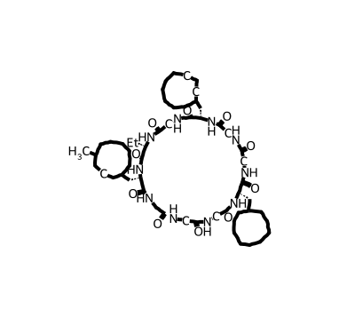 CC[C@@H]1NC(=O)CNC(=O)[C@H](CC2CCCCCCCCC2)NC(=O)CNC(=O)CNC(=O)[C@H](CC2CCCCCCCCC2)NC(=O)CNC(=O)CNC(=O)CNC(=O)[C@H](CC2CCCCCC(C)CCC2)NC1=O